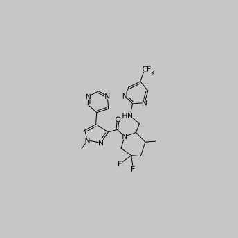 CC1CC(F)(F)CN(C(=O)c2nn(C)cc2-c2cncnc2)C1CNc1ncc(C(F)(F)F)cn1